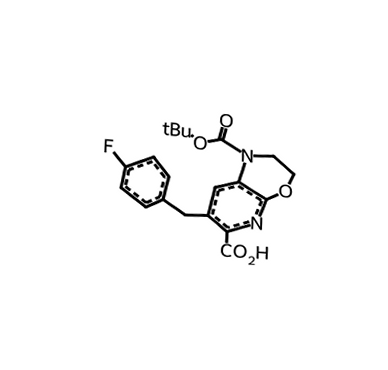 CC(C)(C)OC(=O)N1CCOc2nc(C(=O)O)c(Cc3ccc(F)cc3)cc21